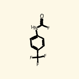 O=C(F)Nc1ccc(C(F)(F)F)cc1